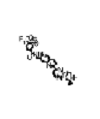 CS(=O)(=O)c1cc(C(=O)NCc2cc3nc(-c4ccnc(N5CCNC6(CC6)C5)n4)ccc3cn2)ccc1C(F)(F)F